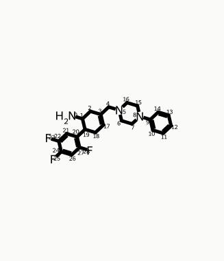 NC1CC(CN2CCN(c3ccccc3)CC2)=CCC1c1cc(F)c(F)cc1F